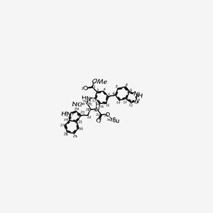 COC(=O)c1cc(-c2ccc3[nH]ncc3c2)ccc1N[C@@H](C#N)[C@H](Cc1c[nH]c2ccccc12)NC(=O)OC(C)(C)C